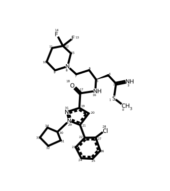 CSC(=N)C[C@H](CCN1CCCC(F)(F)C1)NC(=O)c1cc(-c2ccccc2Cl)n(C2CCCC2)n1